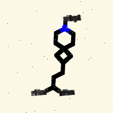 CCCCCCCN1CCC2(CC1)CC(CCC(CCCCCC)CCCCCC)C2